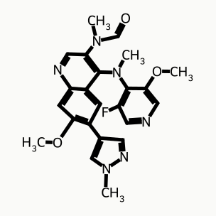 COc1cc2ncc(N(C)C=O)c(N(C)c3c(F)cncc3OC)c2cc1-c1cnn(C)c1